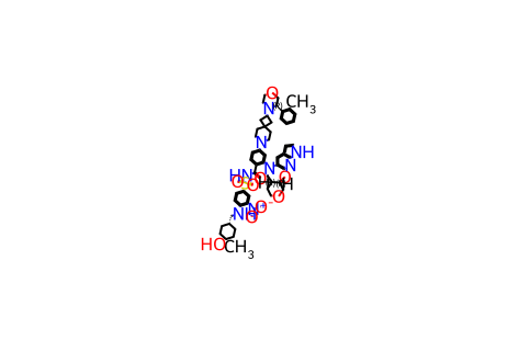 Cc1ccccc1[C@@H]1COCCN1C1CC2(CCN(c3ccc(C(=O)NS(=O)(=O)c4ccc(NC[C@H]5CC[C@](C)(O)CC5)c([N+](=O)[O-])c4)c(N4C[C@H]5CCOC[C@@H]5Oc5nc6[nH]ccc6cc54)c3)CC2)C1